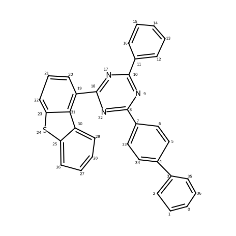 c1ccc(-c2ccc(-c3nc(-c4ccccc4)nc(-c4cccc5sc6ccccc6c45)n3)cc2)cc1